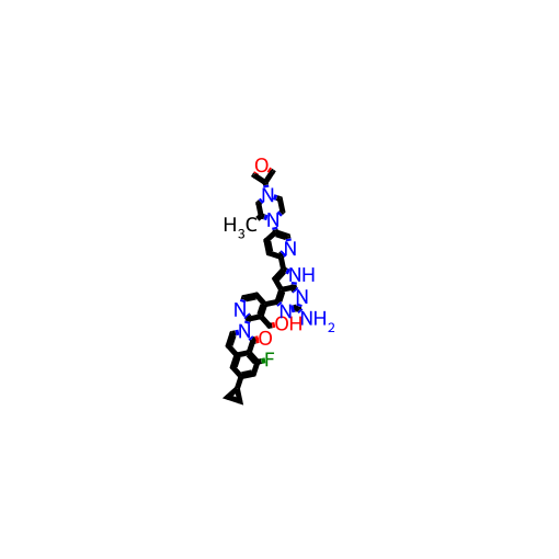 CC1CN(C2COC2)CCN1c1ccc(-c2cc3c(-c4ccnc(-n5ccc6cc(C7CC7)cc(F)c6c5=O)c4CO)nc(N)nc3[nH]2)nc1